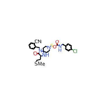 CSCCC1NC2(CCN(SOC(=O)NCc3ccc(Cl)cc3)CC2)N(Cc2ccccc2C#N)C1=O